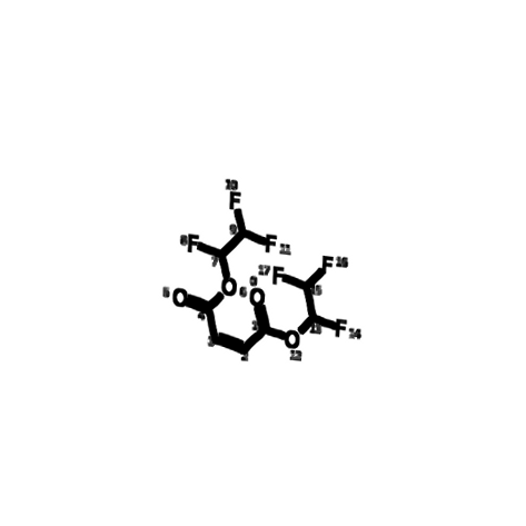 O=C(/C=C\C(=O)OC(F)C(F)F)OC(F)C(F)F